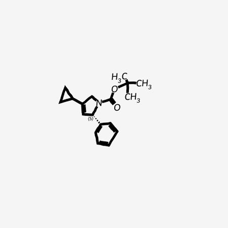 CC(C)(C)OC(=O)N1CC(C2CC2)=C[C@H]1c1ccccc1